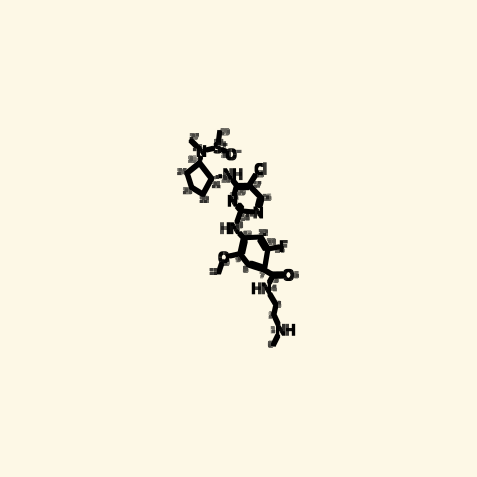 CNCCNC(=O)c1cc(OC)c(Nc2ncc(Cl)c(N[C@@H]3CCC[C@H]3N(C)[S+](C)[O-])n2)cc1F